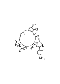 COc1cc2cc(c1Cl)N(C)C(=O)C[C@H](OC(=O)[C@H](C)N(C)C(=O)c1ccc(N)cc1C)[C@]1(C)O[C@H]1C[C@@H]1C[C@@](O)(NC(=O)O1)[C@H](OC)/C=C/C=C(\C)C2